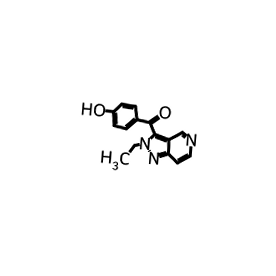 CCn1nc2ccncc2c1C(=O)c1ccc(O)cc1